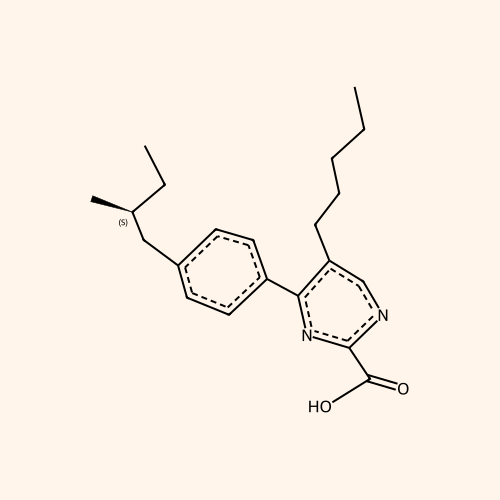 CCCCCc1cnc(C(=O)O)nc1-c1ccc(C[C@@H](C)CC)cc1